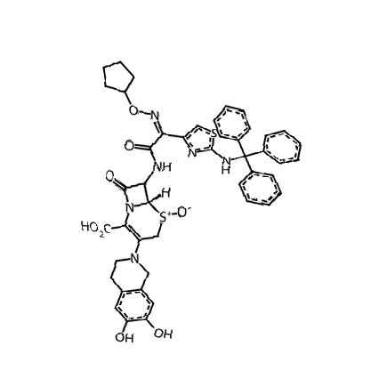 O=C(O)C1=C(N2CCc3cc(O)c(O)cc3C2)C[S+]([O-])[C@H]2C(NC(=O)/C(=N\OC3CCCC3)c3csc(NC(c4ccccc4)(c4ccccc4)c4ccccc4)n3)C(=O)N12